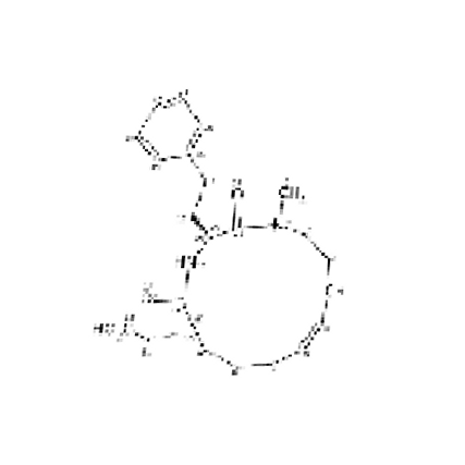 CN1CCCC=CCCC[C@H](CC(=O)O)C(=O)N[C@@H](CCc2ccccc2)C1=O